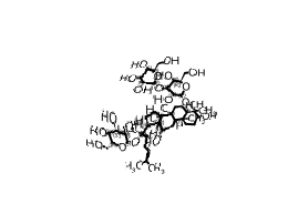 CC(C)=CCC[C@](C)(O[C@@H]1O[C@H](CO)[C@@H](O)[C@H](O)[C@H]1O)[C@H]1CC[C@]2(C)[C@@H]1[C@H](O)C[C@@H]1[C@@]3(C)CC[C@H](O)C(C)(C)[C@@H]3[C@@H](O[C@@H]3O[C@H](CO)[C@@H](O)[C@H](O[C@H]4O[C@H](CO)[C@@H](O)[C@H](O)[C@H]4O)[C@H]3O)C[C@]12C